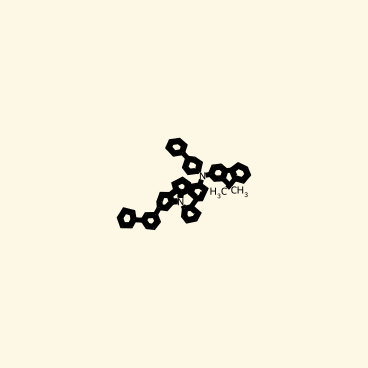 CC1(C)c2ccccc2-c2ccc(N(c3ccc(-c4ccccc4)cc3)c3ccc(-c4ccccc4-n4c5ccccc5c5ccc(-c6cccc(-c7ccccc7)c6)cc54)cc3)cc21